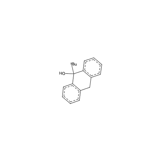 CC(C)(C)C1(O)c2ccccc2Cc2ccccc21